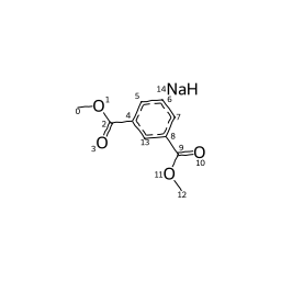 COC(=O)c1cccc(C(=O)OC)c1.[NaH]